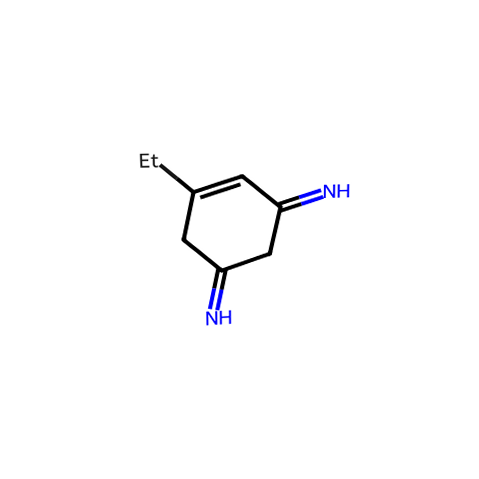 CCC1=CC(=N)CC(=N)C1